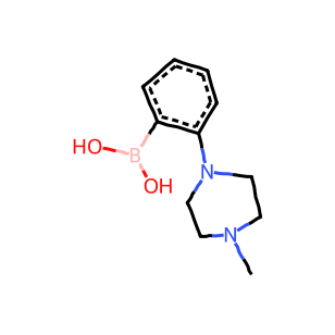 CN1CCN(c2ccccc2B(O)O)CC1